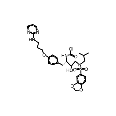 CC(C)CN(C[C@@H](O)[C@H](Cc1ccc(OCCCNc2ncccn2)cc1)NC(=O)O)S(=O)(=O)c1ccc2c(c1)OCO2